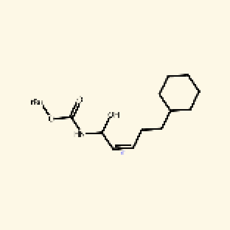 CC(C)(C)OC(=O)NC(O)/C=C\CCC1CCCCC1